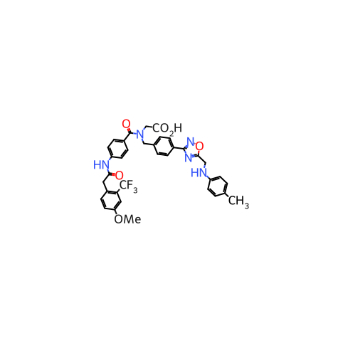 COc1ccc(CC(=O)Nc2ccc(C(=O)N(CC(=O)O)Cc3ccc(-c4noc(CNc5ccc(C)cc5)n4)cc3)cc2)c(C(F)(F)F)c1